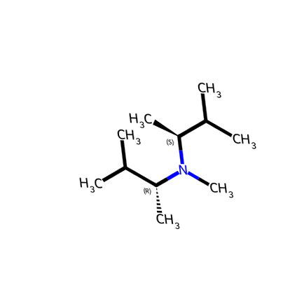 CC(C)[C@@H](C)N(C)[C@@H](C)C(C)C